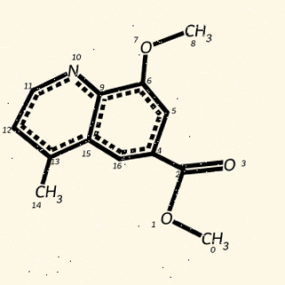 COC(=O)c1cc(OC)c2nccc(C)c2c1